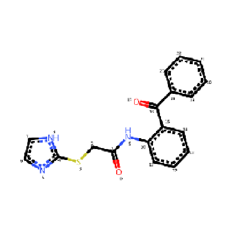 O=C(CSc1ncc[nH]1)Nc1ccccc1C(=O)c1ccccc1